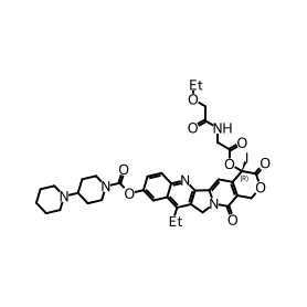 CCOCC(=O)NCC(=O)O[C@]1(I)C(=O)OCc2c1cc1n(c2=O)Cc2c-1nc1ccc(OC(=O)N3CCC(N4CCCCC4)CC3)cc1c2CC